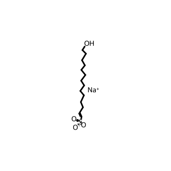 O=S(=O)([O-])C=CCCCCCCCCCCCCO.[Na+]